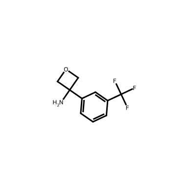 NC1(c2cccc(C(F)(F)F)c2)COC1